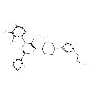 CCOC(=O)C1=C([C@H]2CC[C@H](c3cnn(CCC(=O)O)c3)CC2)NC(c2nccs2)=NC1c1ccc(F)c(F)c1Cl